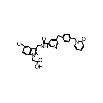 O=C(O)Cn1nc(CNC(=O)c2cncc(Cc3ccc(Cn4ccccc4=O)cc3)c2)c2cc(Cl)ccc21